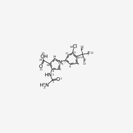 NC(=O)Nc1cn(-c2ccc(C(F)(F)F)c(Cl)c2)cc1C(=O)O